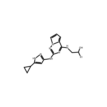 CCC(O)CNc1nc(Nc2cc(C3CC3)[nH]n2)nn2cccc12